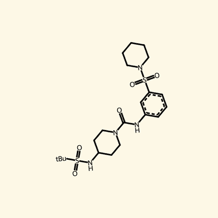 CC(C)(C)S(=O)(=O)NC1CCN(C(=O)Nc2cccc(S(=O)(=O)N3CCCCC3)c2)CC1